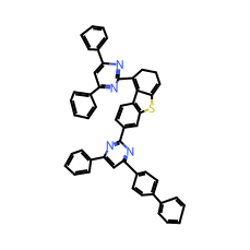 C1=c2sc3cc(-c4nc(-c5ccccc5)cc(-c5ccc(-c6ccccc6)cc5)n4)ccc3c2=C(c2nc(-c3ccccc3)cc(-c3ccccc3)n2)CC1